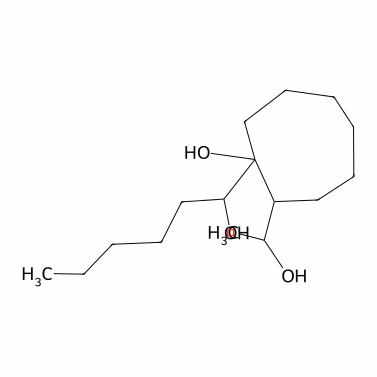 CCCCCC(O)C1(O)CCCCCCC1C(C)O